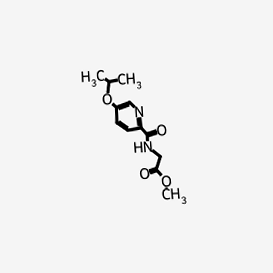 COC(=O)CNC(=O)c1ccc(OC(C)C)cn1